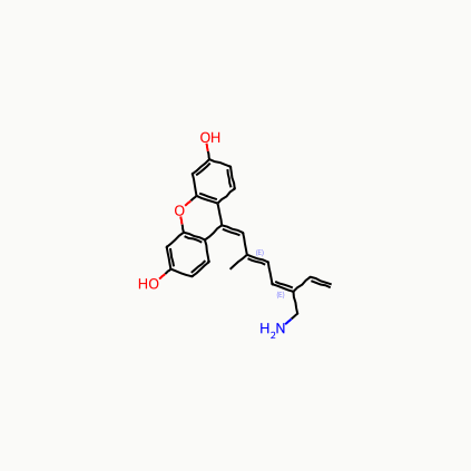 C=C/C(=C\C=C(/C)C=C1c2ccc(O)cc2Oc2cc(O)ccc21)CN